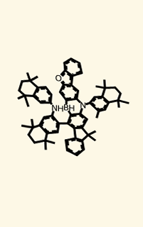 Cc1cc2c(cc1N1c3cc4c(cc3Bc3c1cc1c(c3-c3cc5c(cc3Nc3ccc6c(c3)C(C)(C)CCC6(C)C)C(C)(C)CCC5(C)C)-c3ccccc3C1(C)C)oc1ccccc14)C(C)(C)CCC2(C)C